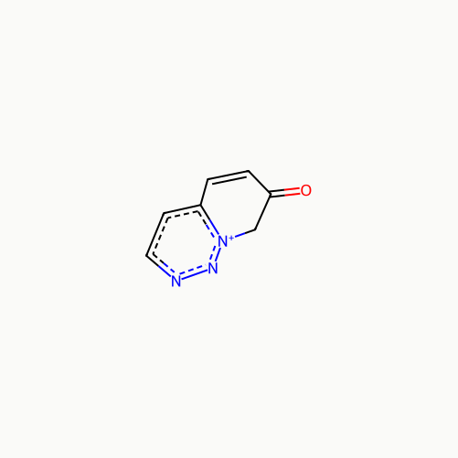 O=C1C=Cc2ccnn[n+]2C1